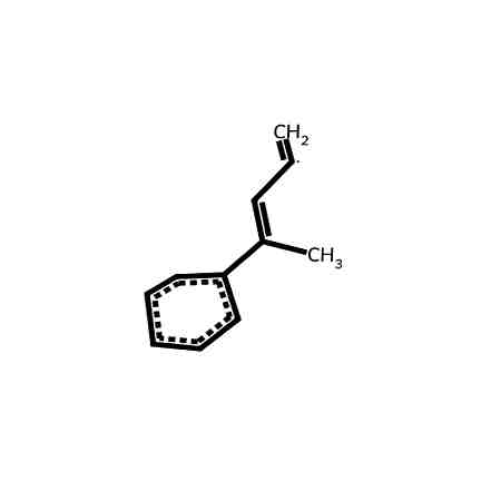 C=[C]C=C(C)c1ccccc1